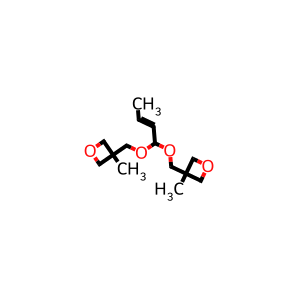 CC=CC(OCC1(C)COC1)OCC1(C)COC1